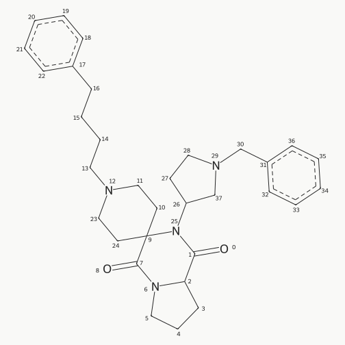 O=C1C2CCCN2C(=O)C2(CCN(CCCCc3ccccc3)CC2)N1C1CCN(Cc2ccccc2)C1